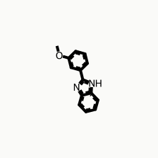 COc1cccc(-c2nc3ccccc3[nH]2)c1